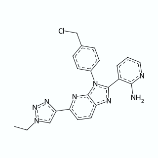 CCn1cc(-c2ccc3nc(-c4cccnc4N)n(-c4ccc(CCl)cc4)c3n2)nn1